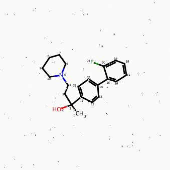 CC(O)(CCN1CCCCC1)c1ccc(-c2ccccc2F)cc1